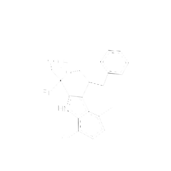 CCC1(CC(=O)O)OCC(Cc2ccccc2)c2c1[nH]c1c(Cl)ccc(C)c21